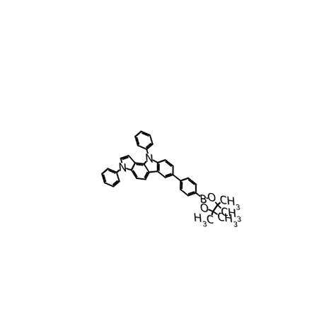 CC1(C)OB(c2ccc(-c3ccc4c(c3)c3ccc5c(ccn5-c5ccccc5)c3n4-c3ccccc3)cc2)OC1(C)C